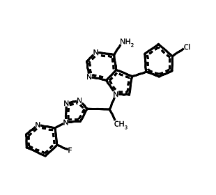 CC(c1cn(-c2ncccc2F)nn1)n1cc(-c2ccc(Cl)cc2)c2c(N)ncnc21